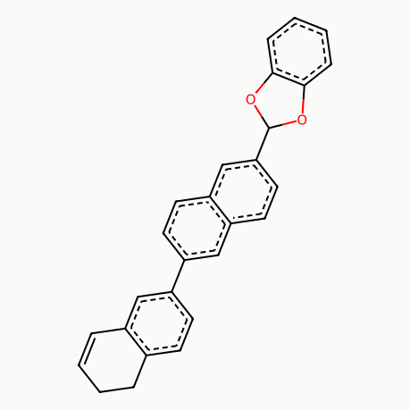 C1=Cc2cc(-c3ccc4cc(C5Oc6ccccc6O5)ccc4c3)ccc2CC1